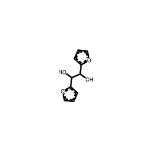 OC(c1ccco1)C(O)c1ccco1